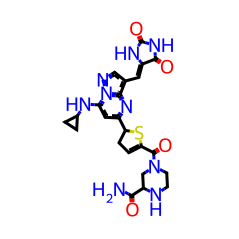 NC(=O)C1CN(C(=O)C2=CCC(c3cc(NC4CC4)n4ncc(/C=C5\NC(=O)NC5=O)c4n3)S2)CCN1